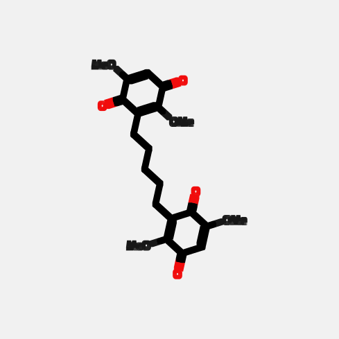 COC1=CC(=O)C(OC)=C(CCCCCC2=C(OC)C(=O)C=C(OC)C2=O)C1=O